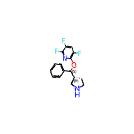 Fc1cc(F)c(O[C@H](c2ccccc2)[C@@H]2CCNC2)nc1F